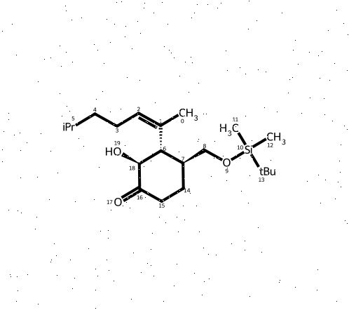 C/C(=C/CCC(C)C)[C@@H]1[C@@H](CO[Si](C)(C)C(C)(C)C)CCC(=O)[C@H]1O